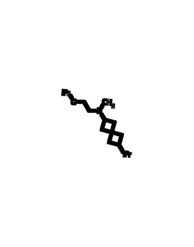 CC(C)OCCN(C)C1CC2(CC(C(C)C)C2)C1